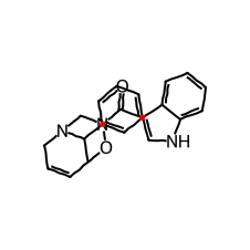 O=C(c1c[nH]c2ccccc12)N1CN2CC=CC(O1)C2c1ccccc1